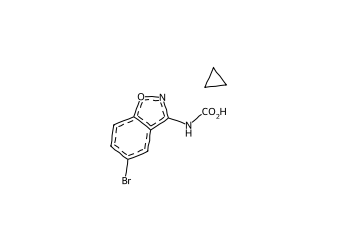 C1CC1.O=C(O)Nc1noc2ccc(Br)cc12